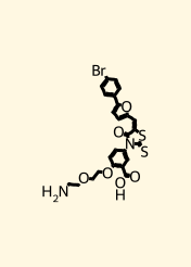 NCCOCCOc1ccc(N2C(=O)/C(=C\c3ccc(-c4ccc(Br)cc4)o3)SC2=S)cc1C(=O)O